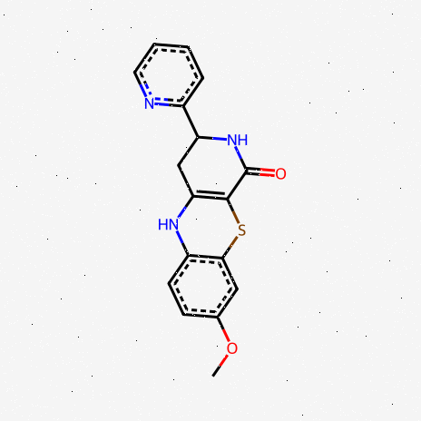 COc1ccc2c(c1)SC1=C(CC(c3ccccn3)NC1=O)N2